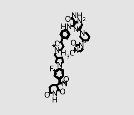 CN1CCN([C@@H]2CCCN(c3cnc(C(N)=O)c(Nc4ccc(C5CCN(CC6CCN(c7cc8onc(C9CCC(=O)NC9=O)c8cc7F)C6)CC5)cc4)n3)C2)C1=O